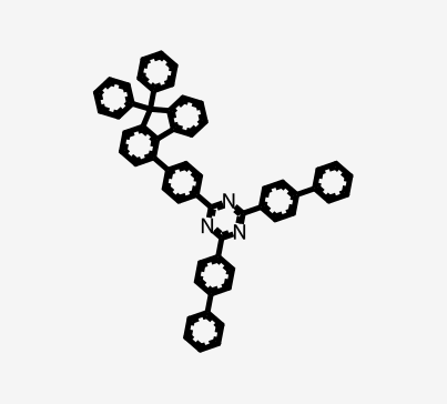 c1ccc(-c2ccc(-c3nc(-c4ccc(-c5ccccc5)cc4)nc(-c4ccc(-c5cccc6c5-c5ccccc5C6(c5ccccc5)c5ccccc5)cc4)n3)cc2)cc1